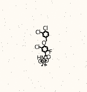 CN(C)S(=O)(=O)NC(=O)c1cc(Cl)c(OCc2ccc(Cl)c(Cl)c2)cc1F